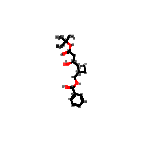 CC(C)(C)OC(=O)C[C@H](O)[C@@H]1CC[C@H]1COC(=O)c1ccccc1